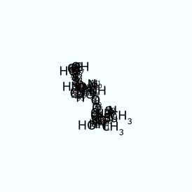 Cc1ncsc1-c1ccc([C@H](C)NC(=O)[C@@H]2C[C@@H](O)CN2C(=O)[C@@H](NC(=O)COCCOCCC(=O)NC2(c3ccccn3)CN(C(=O)[C@@H]3CC[C@H]4CCCC[C@H](NC(=O)c5cc6cc(C(F)(F)P(=O)(O)O)ccc6s5)C(=O)N43)C2)C(C)(C)C)cc1